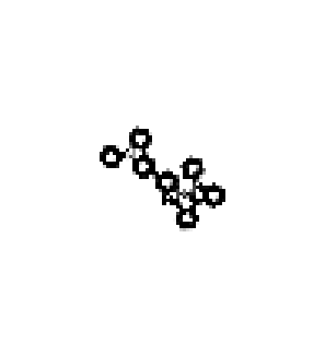 c1ccc(-n2c3ccccc3c3cc(-c4ccc5c(c4)nc4c6ccccc6c6c7ccccc7n(-c7ccccc7)c6n54)ccc32)cc1